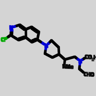 CNC(CN(CC=O)C(=O)O)C1CCN(c2ccc3cnc(Cl)cc3c2)CC1